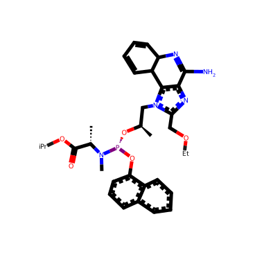 CCOCc1nc2c(n1C[C@@H](C)O[P@](Oc1cccc3ccccc13)N(C)[C@@H](C)C(=O)OC(C)C)C1C=CC=CC1N=C2N